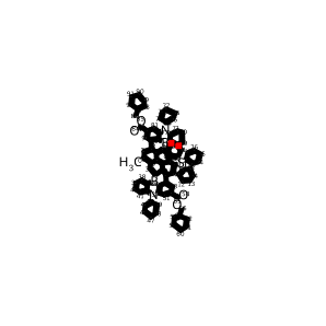 Cc1cc2c3c(cc4c([Si](c5ccccc5)(c5ccccc5)c5ccccc5)cc5c6c(cc1c3c46)B1c3ccccc3N(c3ccccc3)c3cc(C(=O)OCc4ccccc4)cc-5c31)B1c3ccccc3N(c3ccccc3)c3cc(C(=O)OCc4ccccc4)cc-2c31